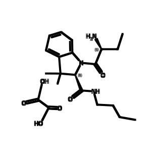 CCCCNC(=O)[C@@H]1N(C(=O)[C@@H](N)CC)c2ccccc2C1(C)C.O=C(O)C(=O)O